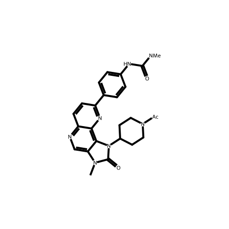 CNC(=O)Nc1ccc(-c2ccc3ncc4c(c3n2)n(C2CCN(C(C)=O)CC2)c(=O)n4C)cc1